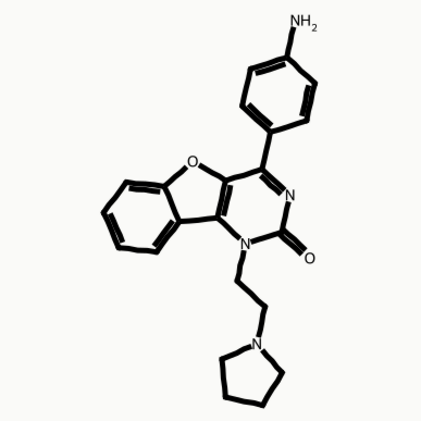 Nc1ccc(-c2nc(=O)n(CCN3CCCC3)c3c2oc2ccccc23)cc1